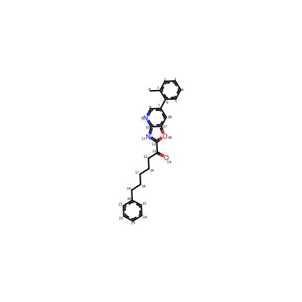 Cc1ccccc1-c1cnc2nc(C(=O)CCCCCc3ccccc3)oc2c1